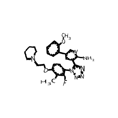 COc1ccccc1-c1cnc(N)c(-c2nnnn2-c2ccc(OCCN3CCCCC3)c(C)c2F)c1